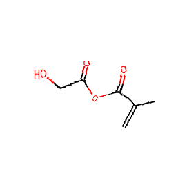 C=C(C)C(=O)OC(=O)CO